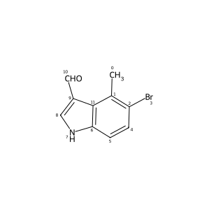 Cc1c(Br)ccc2[nH]cc(C=O)c12